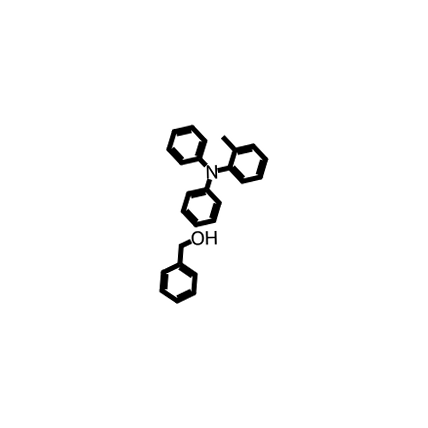 Cc1ccccc1N(c1ccccc1)c1ccccc1.OCc1ccccc1